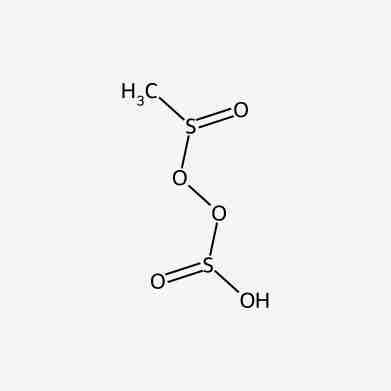 CS(=O)OOS(=O)O